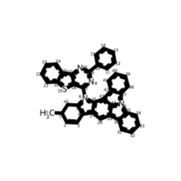 CC1C=Cc2c(n(-c3nc(-c4ccccc4)nc4c3sc3ccccc34)c3c2cc2c4ccccc4n4c5ccccc5c3c24)C1